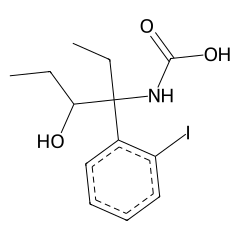 CCC(O)C(CC)(NC(=O)O)c1ccccc1I